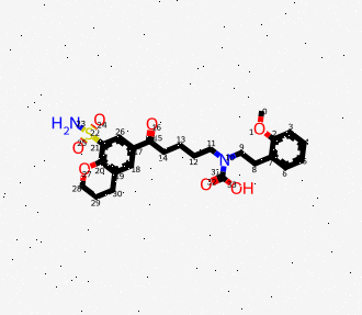 COc1ccccc1CCN(CCCCC(=O)c1cc2c(c(S(N)(=O)=O)c1)OCCC2)C(=O)O